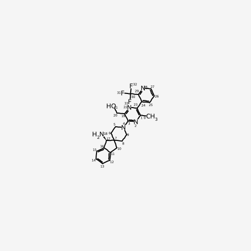 Cc1nc(N2CCC3(CC2)Cc2ccccc2[C@H]3N)c(CO)nc1-c1cccnc1C(F)(F)F